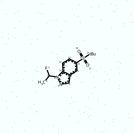 CC(F)n1ncc2cc(S(=O)(=O)C(C)(C)C)ccc21